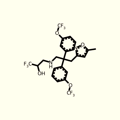 Cc1cc(CC(CNCC(O)C(F)(F)F)(c2cccc(OC(F)(F)F)c2)c2cccc(OC(F)(F)F)c2)no1